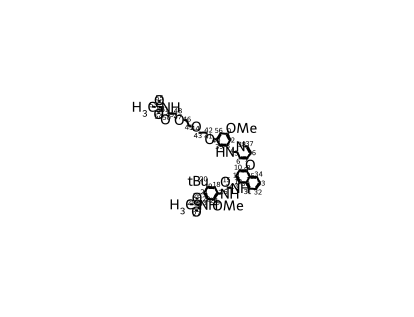 COc1cc(Nc2cc(Oc3ccc(NC(=O)Nc4cc(C(C)(C)C)cc(NS(C)(=O)=O)c4OC)c4ccccc34)ccn2)cc(OCCOCCOCC(=O)NS(C)(=O)=O)c1